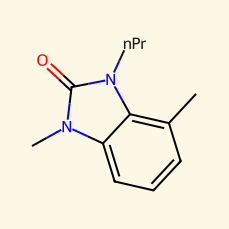 CCCn1c(=O)n(C)c2cccc(C)c21